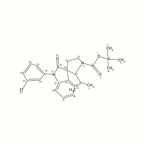 CC(C)C1N(C(=O)OC(C)(C)C)CCC12C(=O)N(c1cccc(Cl)c1)c1ccccc12